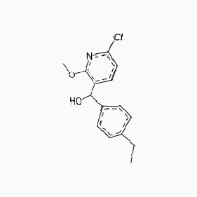 CCc1ccc(C(O)c2ccc(Cl)nc2OC)cc1